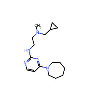 CN(CCNc1nccc(N2CCCCCC2)n1)CC1CC1